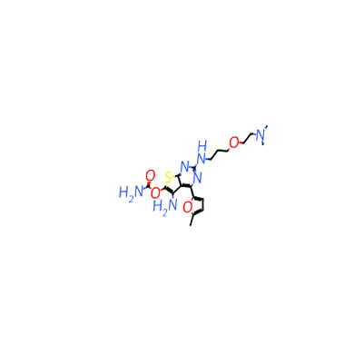 Cc1ccc(-c2nc(NCCCOCCN(C)C)nc3sc(OC(N)=O)c(N)c23)o1